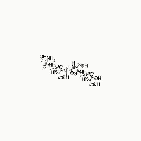 N[C@@H](CO)C(=O)NCC(=O)N[C@@H](CO)C(=O)NCC(=O)N[C@@H](CO)C(=O)NCC(=O)N[C@@H](CO)C(=O)O